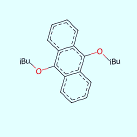 CCC(C)Oc1c2ccccc2c(OC(C)CC)c2ccccc12